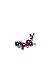 CCN(CC)CCOC1CCCN(C(=O)c2ccc(NC(=O)c3ccccc3Cl)c(OC)c2)c2ccc(Cl)cc21